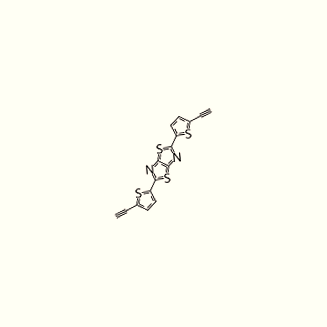 C#Cc1ccc(-c2nc3sc(-c4ccc(C#C)s4)nc3s2)s1